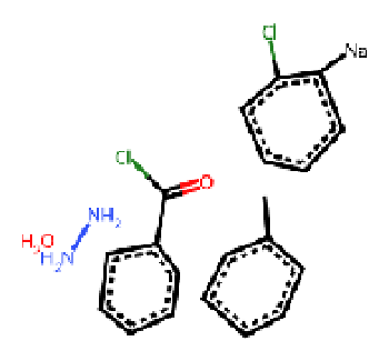 Cc1ccccc1.NN.O.O=C(Cl)c1ccccc1.[Na][c]1ccccc1Cl